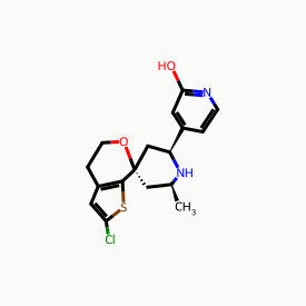 C[C@H]1C[C@@]2(C[C@@H](c3ccnc(O)c3)N1)OCCc1cc(Cl)sc12